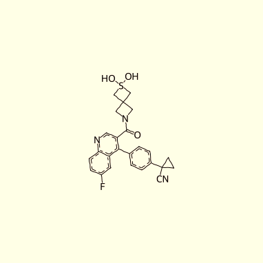 N#CC1(c2ccc(-c3c(C(=O)N4CC5(C4)CS(O)(O)C5)cnc4ccc(F)cc34)cc2)CC1